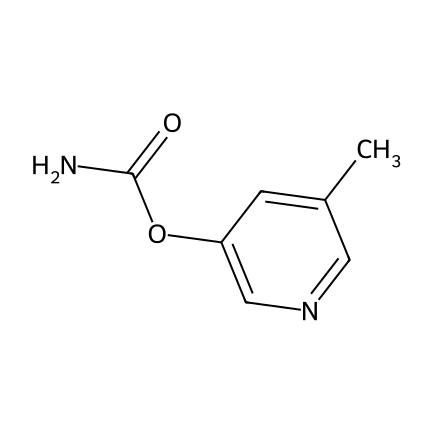 Cc1cncc(OC(N)=O)c1